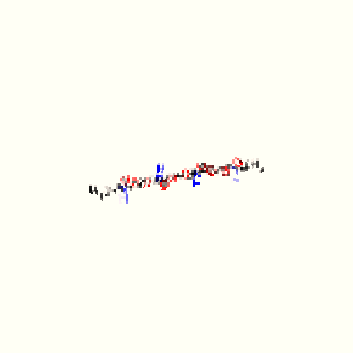 CCCCNC(=O)COCCOCCNC(=O)COCCOCCNC(=O)COCCOCNC(=O)CC